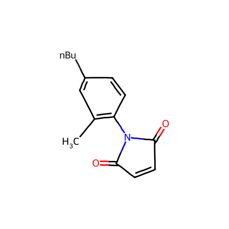 CCCCc1ccc(N2C(=O)C=CC2=O)c(C)c1